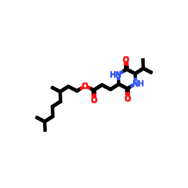 CC(C)CCCC(C)CCOC(=O)CCC1NC(=O)C(C(C)C)NC1=O